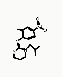 Cc1cc([N+](=O)[O-])ccc1N=C1SCCCN1CC(C)C